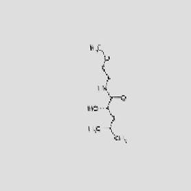 COCCNC(=O)[C@@H](O)CC(C)C